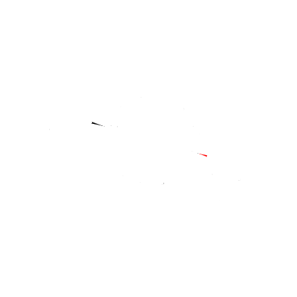 CC(CI)[C@H]1CC=CC[C@H](C)[C@@H](O[Si](C)(C)C(C)(C)C)CCCC(=O)O1